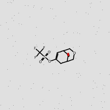 O=S(=O)(OC1=CC2COCC(C1)C21OCCO1)C(F)(F)F